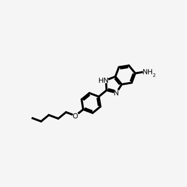 CCCCCOc1ccc(-c2nc3cc(N)ccc3[nH]2)cc1